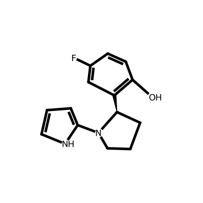 Oc1ccc(F)cc1[C@H]1CCCN1c1ccc[nH]1